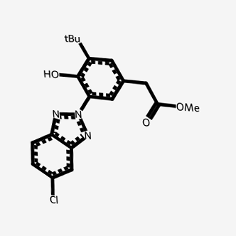 COC(=O)Cc1cc(-n2nc3ccc(Cl)cc3n2)c(O)c(C(C)(C)C)c1